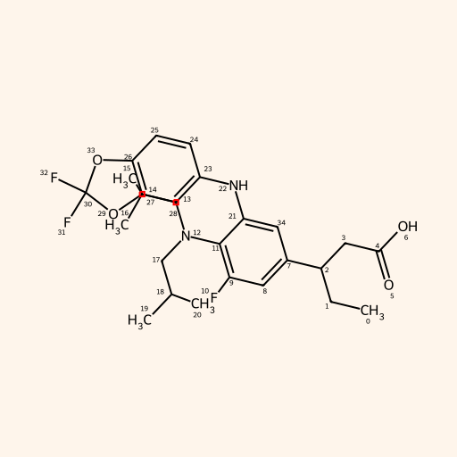 CCC(CC(=O)O)c1cc(F)c(N(CC(C)C)CC(C)C)c(Nc2ccc3c(c2)OC(F)(F)O3)c1